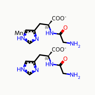 NCC(=O)N[C@@H](Cc1c[nH]cn1)C(=O)[O-].NCC(=O)N[C@@H](Cc1c[nH]cn1)C(=O)[O-].[Mn+2]